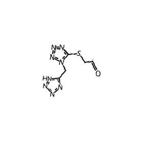 O=[C]CSc1nnnn1Cc1nnn[nH]1